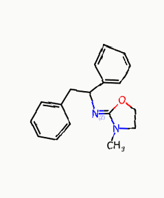 CN1CCO/C1=N\C(Cc1ccccc1)c1ccccc1